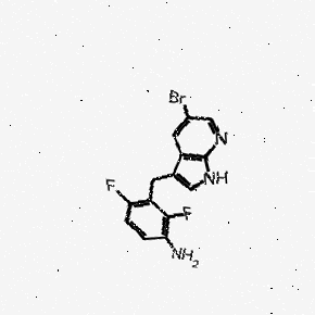 Nc1ccc(F)c(Cc2c[nH]c3ncc(Br)cc23)c1F